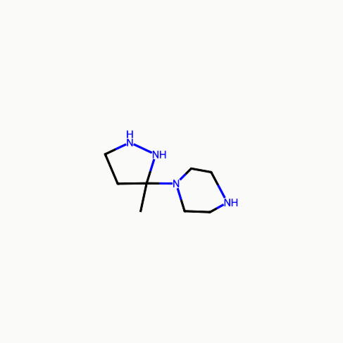 CC1(N2CCNCC2)CCNN1